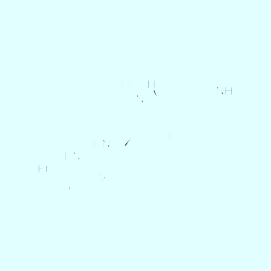 CCC(=O)NC(=S)NC[C@@H]1C[C@@H]2c3cccc4[nH]cc(c34)C[C@H]2N(C)C1